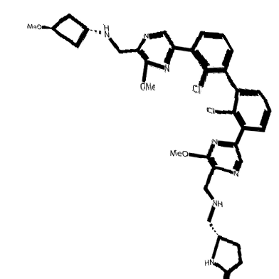 COc1nc(-c2cccc(-c3cccc(-c4cnc(CN[C@H]5C[C@H](OC)C5)c(OC)n4)c3Cl)c2Cl)cnc1CNC[C@@H]1CCC(=O)N1